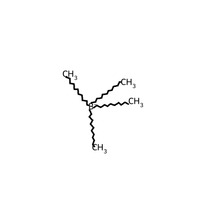 CCCCCCCCCCCC[B-](CCCCCCCCCCCC)(CCCCCCCCCCCC)CCCCCCCCCCCC